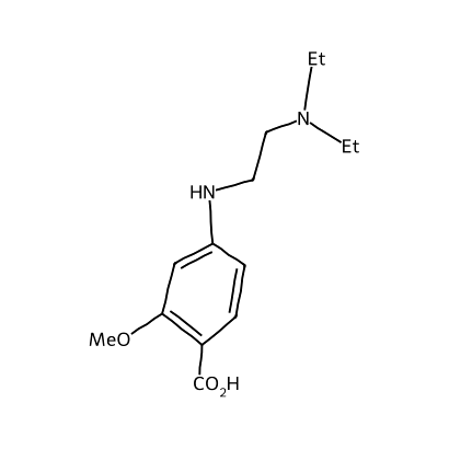 CCN(CC)CCNc1ccc(C(=O)O)c(OC)c1